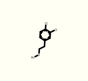 CC(=O)SCCc1ccc(Cl)c(Cl)c1